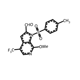 COc1ncc(C(F)(F)F)c2cc(C=O)n(S(=O)(=O)c3ccc(C)cc3)c12